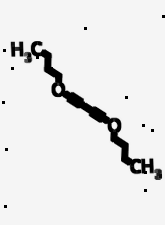 CCCCOC#CC#COCCCC